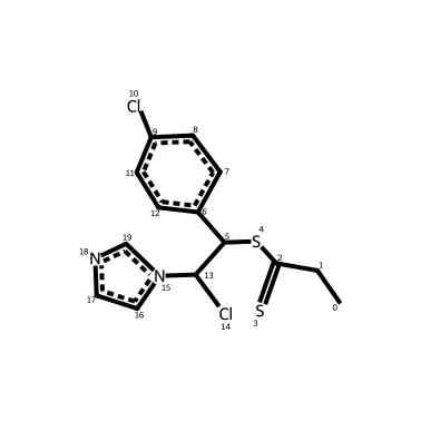 CCC(=S)SC(c1ccc(Cl)cc1)C(Cl)n1ccnc1